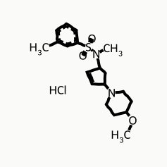 COC1CCN(C2C=CC(N(C)S(=O)(=O)c3cccc(C)c3)C2)CC1.Cl